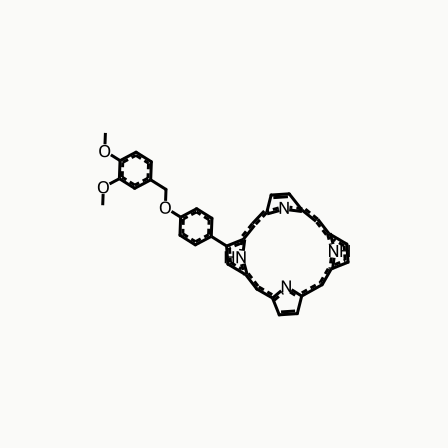 COc1ccc(COc2ccc(-c3cc4cc5nc(cc6ccc(cc7nc(cc3[nH]4)C=C7)[nH]6)C=C5)cc2)cc1OC